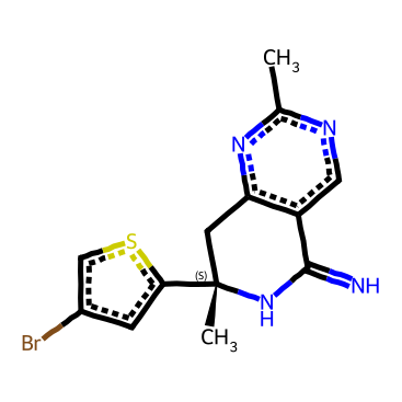 Cc1ncc2c(n1)C[C@@](C)(c1cc(Br)cs1)NC2=N